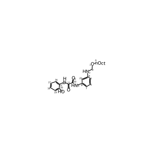 CCCCCCCCOCNc1cccc(NC(=O)C(=O)Nc2ccccc2O)c1